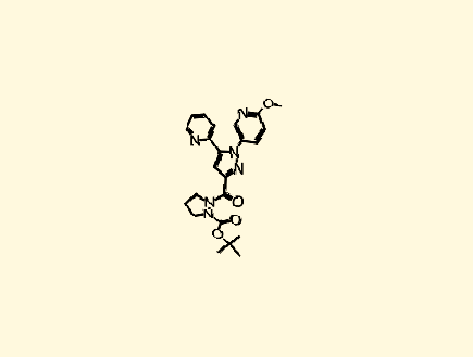 COc1ccc(-n2nc(C(=O)N3CCCN3C(=O)OC(C)(C)C)cc2-c2ccccn2)cn1